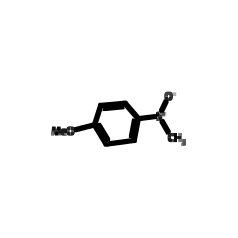 COc1ccc([S+](C)[O-])cc1